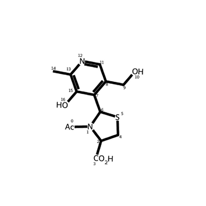 CC(=O)N1C(C(=O)O)CSC1c1c(CO)cnc(C)c1O